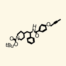 CC#CCOc1ccc(C(=O)NC(CC2CCN(C(=O)OC(C)(C)C)CC2)c2ccccc2)cc1